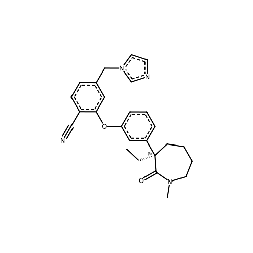 CC[C@]1(c2cccc(Oc3cc(Cn4ccnc4)ccc3C#N)c2)CCCCN(C)C1=O